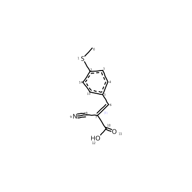 CSc1ccc(/C=C(\C#N)C(=O)O)cc1